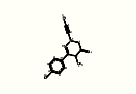 CCC#CN1CC(=O)C(C)C(c2ccc(Cl)cc2)=N1